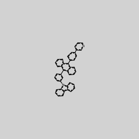 c1cncc(-c2ccc(-c3c4ccccc4c(-c4cccc(-n5c6ccccc6c6ccccc65)c4)c4ccccc34)cc2)c1